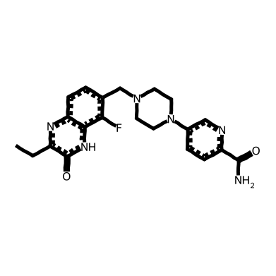 CCc1nc2ccc(CN3CCN(c4ccc(C(N)=O)nc4)CC3)c(F)c2[nH]c1=O